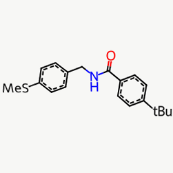 CSc1ccc(CNC(=O)c2ccc(C(C)(C)C)cc2)cc1